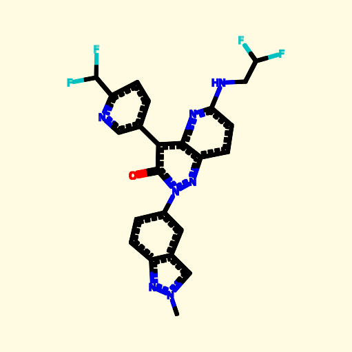 Cn1cc2cc(-n3nc4ccc(NCC(F)F)nc4c(-c4ccc(C(F)F)nc4)c3=O)ccc2n1